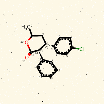 CC1C[C@H](c2ccc(Cl)cc2)[C@@H](c2ccccc2)C(=O)O1